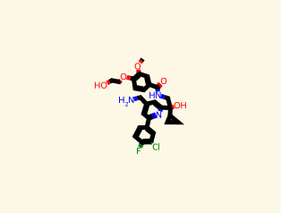 COc1cc(C(=O)NCC(O)(c2cc(CN)cc(-c3ccc(F)c(Cl)c3)n2)C2CC2)ccc1OCCO